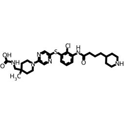 CC1(CNC(=O)O)CCN(c2cnc(Sc3cccc(NC(=O)CCCC4CCNCC4)c3Cl)cn2)CC1